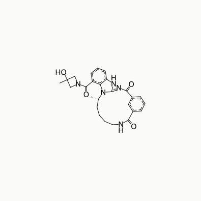 C[C@H]1CCCCNC(=O)c2cccc(c2)C(=O)/N=C2\Nc3cccc(C(=O)N4CC(C)(O)C4)c3N21